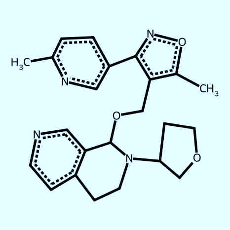 Cc1ccc(-c2noc(C)c2COC2c3cnccc3CCN2C2CCOC2)cn1